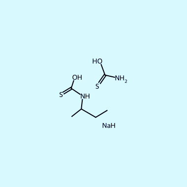 CCC(C)NC(O)=S.NC(O)=S.[NaH]